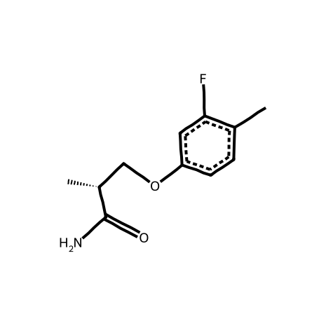 Cc1ccc(OC[C@@H](C)C(N)=O)cc1F